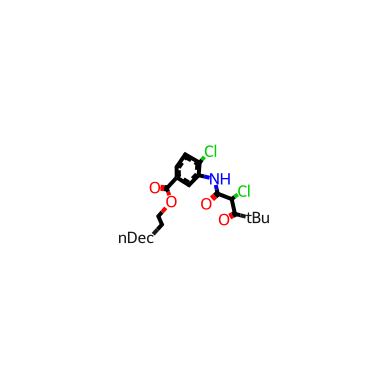 CCCCCCCCCCCCOC(=O)c1ccc(Cl)c(NC(=O)C(Cl)C(=O)C(C)(C)C)c1